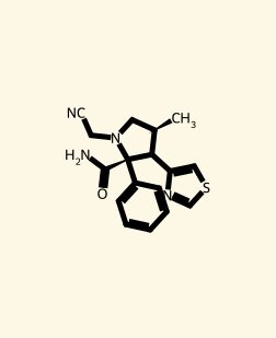 C[C@@H]1CN(CC#N)[C@@](C(N)=O)(c2ccccc2)C1c1cscn1